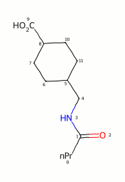 CCCC(=O)NCC1CCC(C(=O)O)CC1